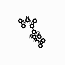 c1ccc2c(c1)Oc1cc(-c3ccc4c(c3)c3ccccc3n4-c3cncc(-n4c5ccccc5c5ccccc54)c3)ccc1C21c2cccnc2-c2ncc(-n3c4ccccc4c4ccccc43)cc21